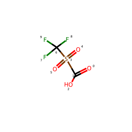 O=C(O)S(=O)(=O)C(F)(F)F